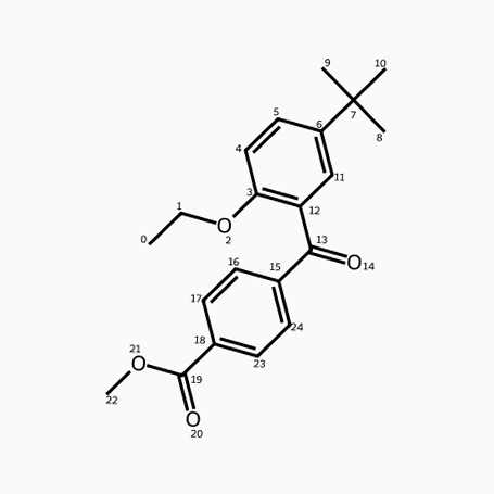 CCOc1ccc(C(C)(C)C)cc1C(=O)c1ccc(C(=O)OC)cc1